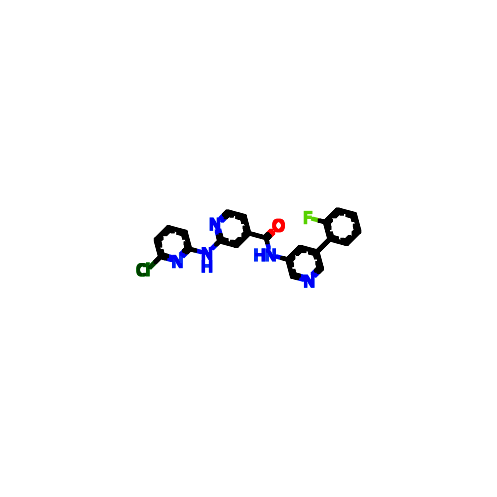 O=C(Nc1cncc(-c2ccccc2F)c1)c1ccnc(Nc2cccc(Cl)n2)c1